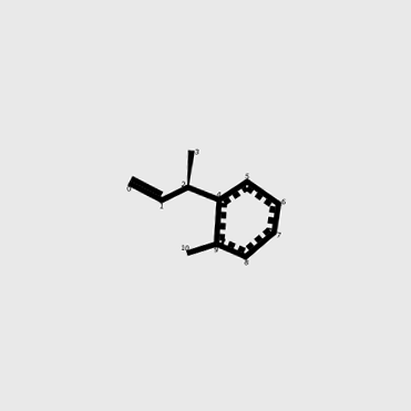 C=C[C@@H](C)c1ccccc1C